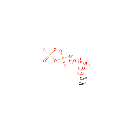 O.O.O.O.O.O=P([O-])([O-])OP(=O)([O-])[O-].[Ca+2].[Ca+2]